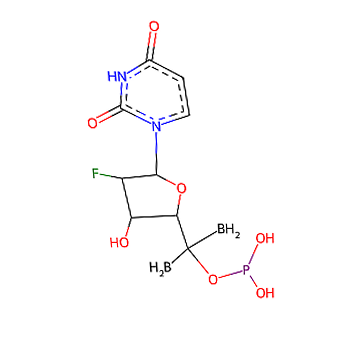 BC(B)(OP(O)O)C1OC(n2ccc(=O)[nH]c2=O)C(F)C1O